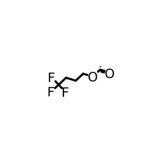 O=[C]OCCCC(F)(F)F